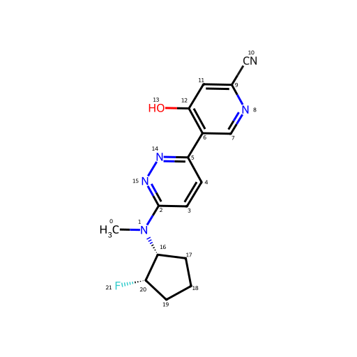 CN(c1ccc(-c2cnc(C#N)cc2O)nn1)[C@@H]1CCC[C@@H]1F